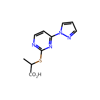 CC(Sc1nccc(-n2cccn2)n1)C(=O)O